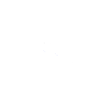 Cc1cccc2c1CCN2C([C]=O)N1C(=O)COc2ccccc21